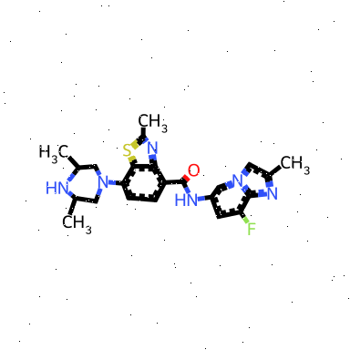 Cc1cn2cc(NC(=O)c3ccc(N4CC(C)NC(C)C4)c4sc(C)nc34)cc(F)c2n1